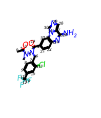 CC(=O)N(C)N(Cc1ccc(C(F)(F)F)cc1Cl)C(=O)c1ccc2nc(N)c3cncn3c2c1